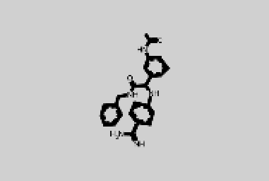 CC(=O)Nc1cccc(C(Nc2ccc(C(=N)N)cc2)C(=O)NCc2ccccc2)c1